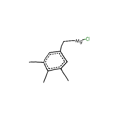 Cc1cc([CH2][Mg][Cl])cc(C)c1C